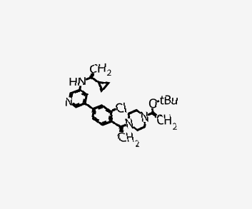 C=C(Nc1cncc(-c2ccc(C(=C)N3CCN(C(=C)OC(C)(C)C)CC3)c(Cl)c2)c1)C1CC1